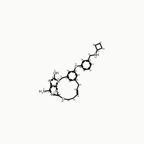 Nc1nc2nc3c1nc(O)n3Cc1cc(cc(Oc3cccc(CNC4CCC4)c3)c1)C/C=C/CCO2